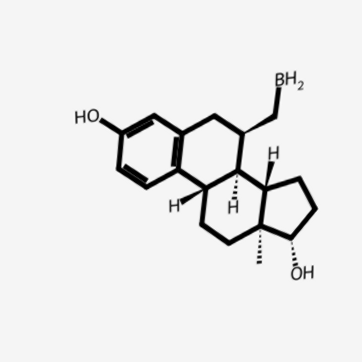 BC[C@@H]1Cc2cc(O)ccc2[C@H]2CC[C@]3(C)[C@@H](O)CC[C@H]3[C@H]12